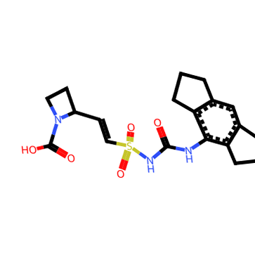 O=C(Nc1c2c(cc3c1CCC3)CCC2)NS(=O)(=O)C=CC1CCN1C(=O)O